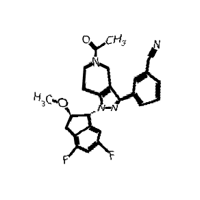 CO[C@@H]1Cc2c(F)cc(F)cc2[C@H]1n1nc(-c2cccc(C#N)c2)c2c1CCN(C(C)=O)C2